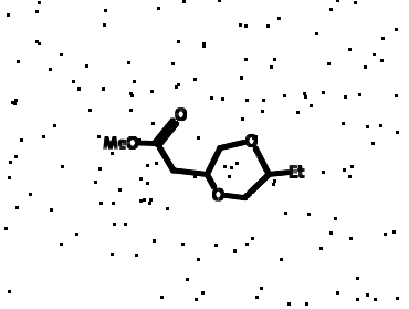 CCC1COC(CC(=O)OC)CO1